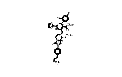 COC[C@H]1[C@@H]2CN(c3ccc(CCC(=O)O)cc3)C(=O)N2CCN1CC1=C(C(=O)OC)[C@H](c2ccc(F)cc2Cl)N=C(c2nccs2)N1